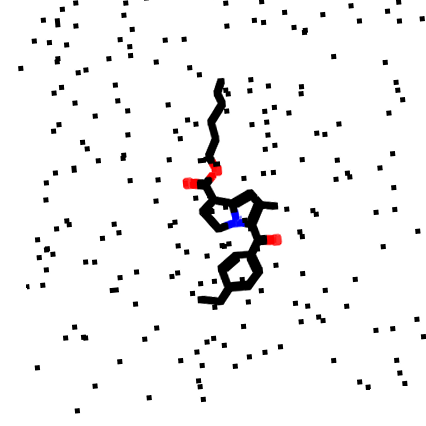 CCCCCCOC(=O)C1CCn2c1cc(C)c2C(=O)c1ccc(CC)cc1